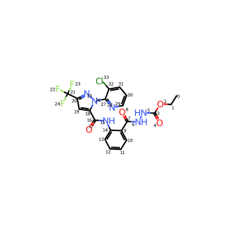 CCOC(=O)NNC(=O)c1ccccc1NC(=O)c1cc(C(F)(F)F)nn1-c1ncccc1Cl